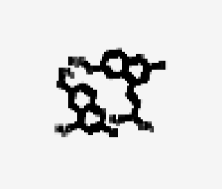 COc1ccc2nc(Cl)cc(C)c2c1.COc1ccc2nc(Cl)cc(C=CN(C)C)c2c1